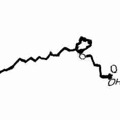 CCCCCCCCCCCC=Cc1ccccc1OCCCCC(=O)O